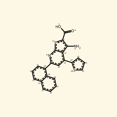 Nc1c(C(=O)O)sc2nc(-c3cccc4ccccc34)cc(-c3cccs3)c12